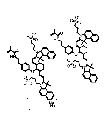 C=C(C)C(=O)NCCc1ccc(OC2=C(C=CC3=[N+](CCCS(=O)(=O)[O-])c4ccc5ccccc5c4C3(C)C)CCCC2=CC=C2N(CCCS(=O)(=O)[O-])c3ccc4ccccc4c3C2(C)C)cc1.C=C(C)C(=O)NCCc1ccc(OC2=C(C=CC3=[N+](CCCS(=O)(=O)[O-])c4ccc5ccccc5c4C3(C)C)CCCC2=CC=C2N(CCCS(=O)(=O)[O-])c3ccc4ccccc4c3C2(C)C)cc1.[Na+].[Na+]